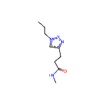 CCCn1cc(CCC(=O)NC)nn1